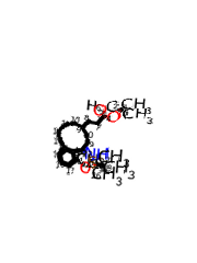 CC(C)(C)OC(=O)CCC1CCCCc2ccccc2[C@](C)(N[S@+]([O-])C(C)(C)C)CC1